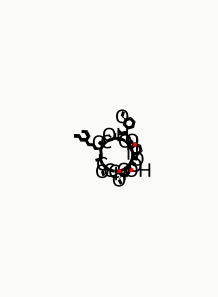 C=C/C=C(\C=C/C)CCC[C@@H]1/C=C(\C)C[C@H](OC)CC[C@H]2O[C@@](O)(C(=O)C(=O)N3CCCC[C@H]3C(=O)O[C@H](/C(C)=C/[C@@H]3CCC[C@H](OC)C3)[C@H](C)[C@@H](O)CC1=O)[C@H](C)C[C@@H]2OC